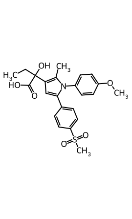 CCC(O)(C(=O)O)c1cc(-c2ccc(S(C)(=O)=O)cc2)n(-c2ccc(OC)cc2)c1C